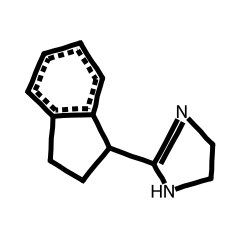 c1ccc2c(c1)CCC2C1=NCCN1